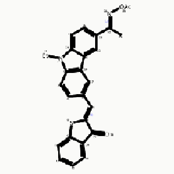 CCn1c2ccc(/C=C3\Sc4ccccc4C3=O)cc2c2cc(/C(C)=N/OC(C)=O)ccc21